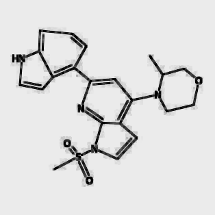 CC1COCCN1c1cc(-c2cccc3[nH]ccc23)nc2c1ccn2S(C)(=O)=O